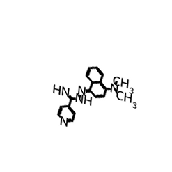 CN(C)C1=C2C=CC=CC2C(=NNC(=N)c2ccncc2)C=C1